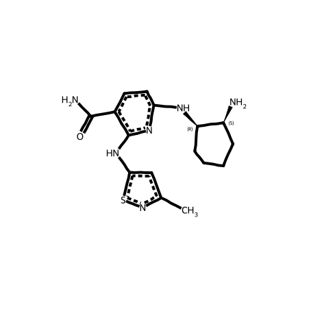 Cc1cc(Nc2nc(N[C@@H]3CCCC[C@@H]3N)ccc2C(N)=O)sn1